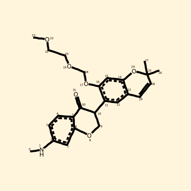 CNc1ccc2c(c1)OCC(c1cc3c(cc1OCOCCOC)OC(C)(C)C=C3)C2=O